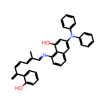 C=C(\C=C/C=C(C)/C=N/c1cccc2cc(N(c3ccccc3)c3ccccc3)cc(O)c12)c1ccccc1O